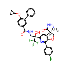 C[C@]1(C(N)=O)COc2c1cc(C(O)(CNC(=O)c1ccc(OC3CC3)c(-c3ccccc3)c1)C(F)(F)F)nc2-c1ccc(F)cc1